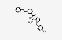 C[C@H](NC(=O)C1CCCN(CCc2ccccn2)C1)c1cncn1Cc1ccc(C#N)cc1